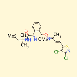 CO/N=C(/C(=O)NC(C)(C)CSC)c1ccccc1CO/N=C(C)/C=C/c1snc(Cl)c1Cl